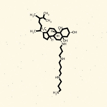 CC(C)C(C)CCC(C)[C@H]1CC[C@H]2[C@@H]3C[C@@H](NCCCNCCCCNCCCN)[C@@]4(O)C[C@@H](O)CC[C@]4(C)[C@H]3CC[C@]12C